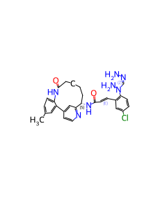 Cc1ccc2c(c1)-c1ccnc(c1)[C@@H](NC(=O)/C=C/c1cc(Cl)ccc1N(N)/C=N\N)CCCCC(=O)N2